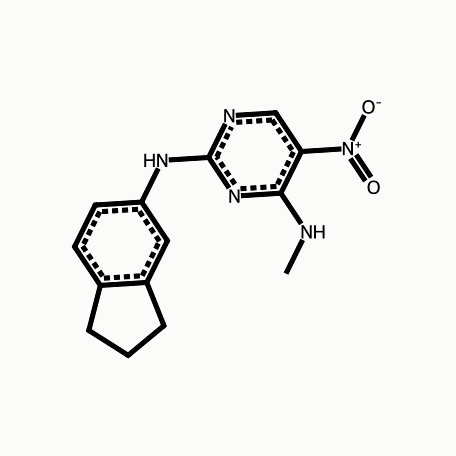 CNc1nc(Nc2ccc3c(c2)CCC3)ncc1[N+](=O)[O-]